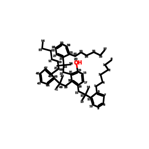 CCCCCCc1ccccc1C(C)(C)Cc1ccc(O)c(CC(C)(C)c2ccccc2CCCCCC)c1CC(C)(C)c1ccccc1CCCCCC